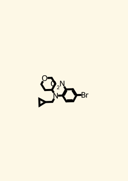 O=[N+]([O-])c1cc(Br)ccc1N(CC1CC1)C1CCOCC1